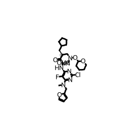 CN(Cc1ccco1)c1nc(Cl)nc(NNC(=O)[C@@H](CC2CCCC2)CN(C=O)OC2CCCCO2)c1F